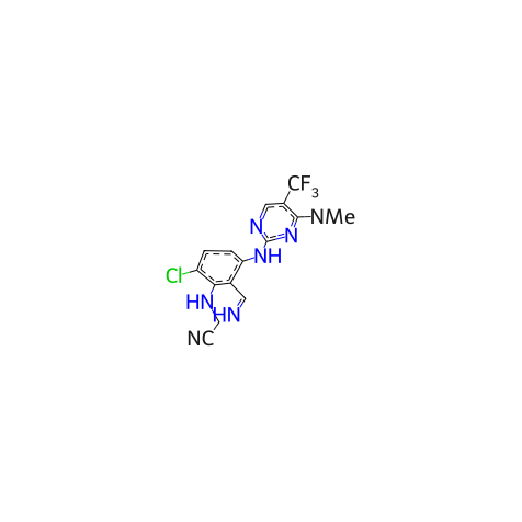 CNc1nc(Nc2ccc(Cl)c(NCC#N)c2C=N)ncc1C(F)(F)F